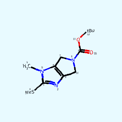 CSc1nc2c(n1C)CN(C(=O)OC(C)(C)C)C2